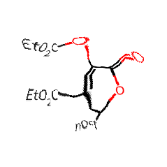 CCCCCCCCC1OC(=O)C(OC(=O)OCC)=C1C(=O)OCC